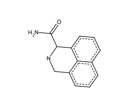 NC(=O)C1[N]Cc2cccc3cccc1c23